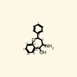 NC1CC(c2ccccc2)Oc2ccccc2C1O